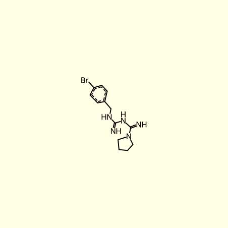 N=C(NCc1ccc(Br)cc1)NC(=N)N1CCCC1